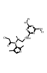 CCNc1nc(Cl)nc(NC(C)C)n1.COC[C@H](C)N(C(=O)CCl)c1c(C)csc1C